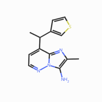 Cc1nc2c(C(C)c3ccsc3)ccnn2c1N